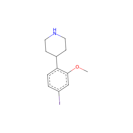 COc1cc(I)ccc1C1CCNCC1